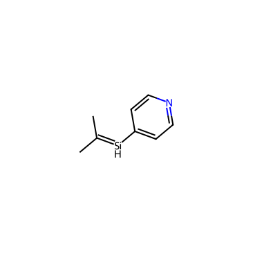 CC(C)=[SiH]c1ccncc1